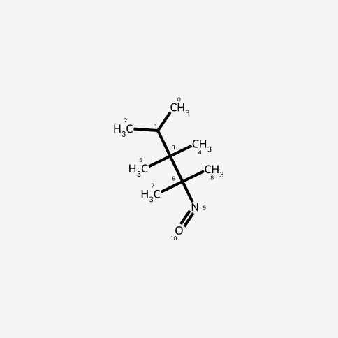 CC(C)C(C)(C)C(C)(C)N=O